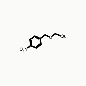 CC(C)(C)COCc1ccc([N+](=O)[O-])cc1